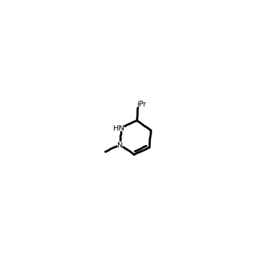 CC(C)C1CC=CN(C)N1